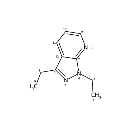 CCc1nn(CC)c2ncccc12